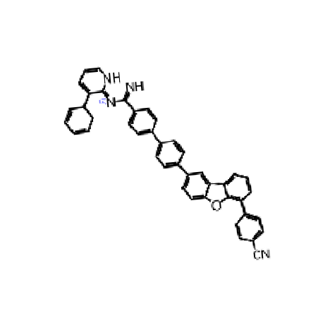 N#Cc1ccc(-c2cccc3c2oc2ccc(-c4ccc(-c5ccc(C(=N)/N=c6\[nH]cccc6C6C=CC=CC6)cc5)cc4)cc23)cc1